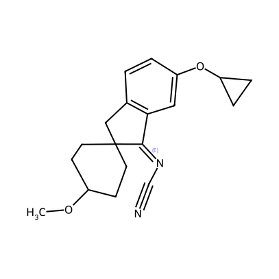 COC1CCC2(CC1)Cc1ccc(OC3CC3)cc1/C2=N/C#N